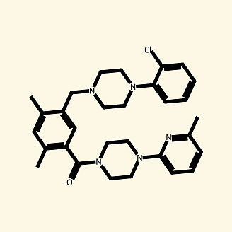 Cc1cccc(N2CCN(C(=O)c3cc(CN4CCN(c5ccccc5Cl)CC4)c(C)cc3C)CC2)n1